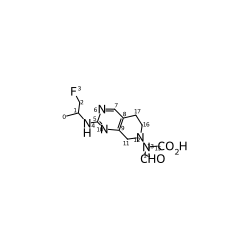 CC(CF)Nc1ncc2c(n1)CN(N(C=O)C(=O)O)CC2